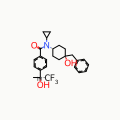 C[C@](O)(c1ccc(C(=O)N(C2CC2)[C@H]2CC[C@@](O)(Cc3ccccc3)CC2)cc1)C(F)(F)F